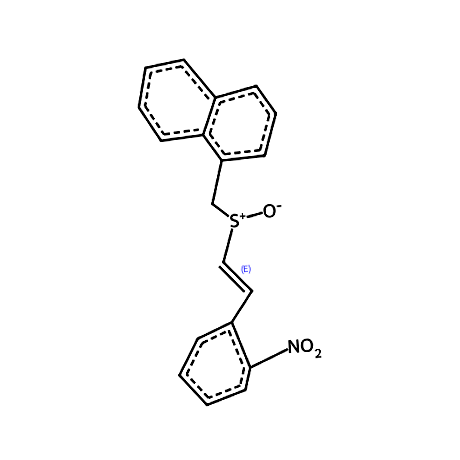 O=[N+]([O-])c1ccccc1/C=C/[S+]([O-])Cc1cccc2ccccc12